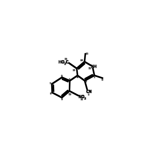 CC1=C(C#N)C(c2ccccc2[N+](=O)[O-])C(C(=O)O)=C(C)N1